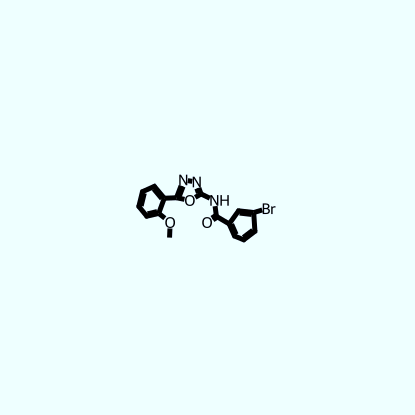 COc1ccccc1-c1nnc(NC(=O)c2cccc(Br)c2)o1